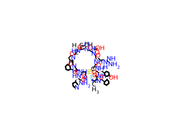 CC(C)[C@@H]1NC(=O)[C@H](CC(=O)O)NC(=O)[C@H](CCCNC(=N)N)NC(=O)[C@@H](NC(=O)[C@H](Cc2ccc(O)cc2)NC(=O)[C@H](NC(=O)c2ccccc2)C(C)CF)CSSC(C#N)[C@@H](C(=O)N[C@@H](Cc2cccnc2)C(N)=O)NC(=O)[C@H](Cc2ccccc2)NC(=O)[C@@H]2CCCN2C(=O)CNC1=O